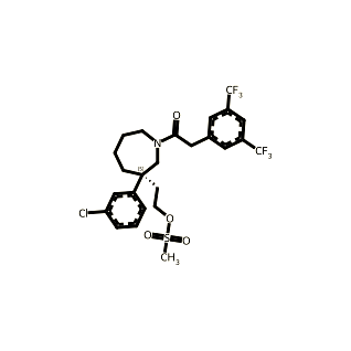 CS(=O)(=O)OCC[C@]1(c2cccc(Cl)c2)CCCCN(C(=O)Cc2cc(C(F)(F)F)cc(C(F)(F)F)c2)C1